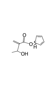 C=C(C(=O)O[SH]1C=CC=C1)C(C)O